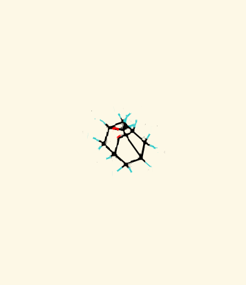 O=C1C2(F)C(F)(F)C3(F)C(F)(F)C1(F)C(F)(F)C(F)(C2(F)F)C3(F)F